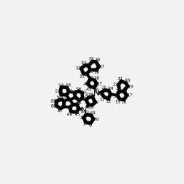 c1ccc(N(c2ccc(N(c3ccc(-c4cccc5ccccc45)cc3)c3ccc(-c4cccc5ccccc45)cc3)cc2)c2ccc3c(c2)C2(c4ccccc4-c4ccccc42)c2ccccc2-3)cc1